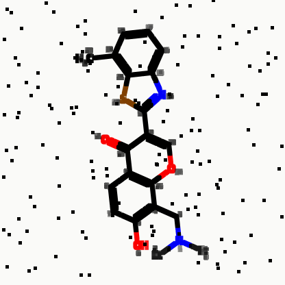 CCN(CC)Cc1c(O)ccc2c(=O)c(-c3nc4cccc(C)c4s3)coc12